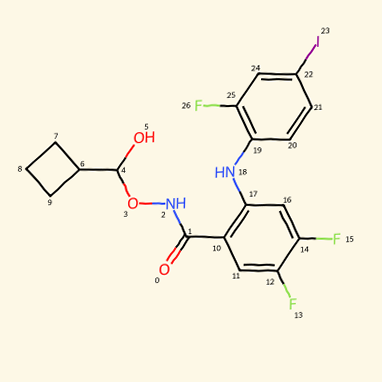 O=C(NOC(O)C1CCC1)c1cc(F)c(F)cc1Nc1ccc(I)cc1F